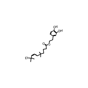 CCC(C)(C)/C=C\CC(C)(C)CCCC(=O)OCCc1ccc(O)c(O)c1